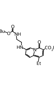 CCc1cc(C(=O)O)c(=O)n2cc(NCCNC(=O)OC(C)(C)C)ccc12